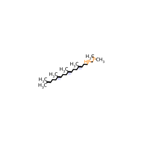 CC(C)=CCC/C(C)=C/CC/C(C)=C/CC/C(C)=C/CCPCP(C)C